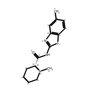 Cc1ccc2sc(NC(=O)[C@H]3CCCCN3C)nc2c1